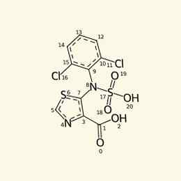 O=C(O)c1ncsc1N(c1c(Cl)cccc1Cl)S(=O)(=O)O